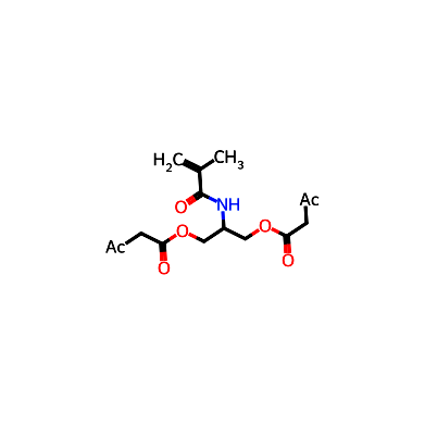 C=C(C)C(=O)NC(COC(=O)CC(C)=O)COC(=O)CC(C)=O